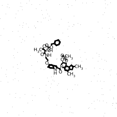 CC1=Cc2c(c(C)cc3c2C[C@H](OS(C)(=O)=O)CN3C(=O)c2cc3cc(OCCNC(=O)[C@@H](NC(=O)OCc4ccccc4)C(C)C)ccc3[nH]2)C1